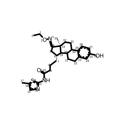 CCO/N=C1\C[C@@H](CCCC(=O)Nc2ncc(C)s2)C2C3CCc4cc(O)ccc4C3CC[C@]12C